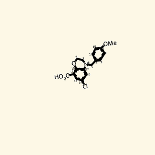 COc1ccc(CN2CCOc3c(C(=O)O)cc(Cl)cc32)cc1